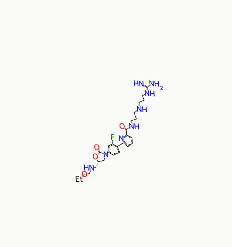 CCOCNC[C@H]1CN(c2ccc(-c3cccc(C(=O)NCCCNCCCNC(=N)N)n3)c(F)c2)C(=O)O1